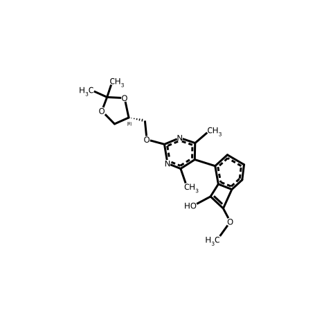 COC1=C(O)c2c1cccc2-c1c(C)nc(OC[C@@H]2COC(C)(C)O2)nc1C